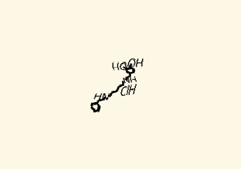 Cl.Oc1ccc(CCNCCCCCCNCCc2ccccc2)cc1O